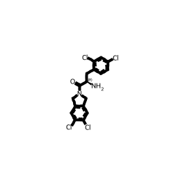 N[C@H](Cc1ccc(Cl)cc1Cl)C(=O)N1Cc2cc(Cl)c(Cl)cc2C1